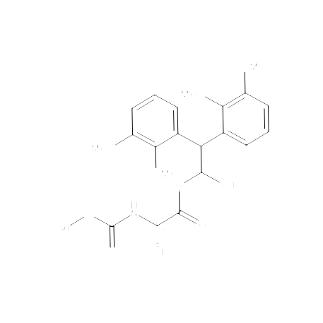 COc1cccc(C(c2cccc(OC)c2OC)C(C)OC(=O)[C@H](C)NC(=O)OC(C)(C)C)c1OC